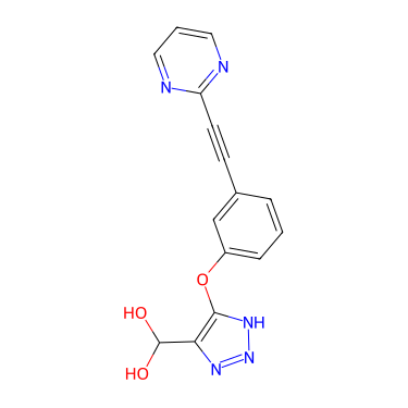 OC(O)c1nn[nH]c1Oc1cccc(C#Cc2ncccn2)c1